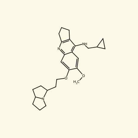 COc1cc2c(NCC3CC3)c3c(nc2cc1OCCC1CCC2CCCN21)CCC3